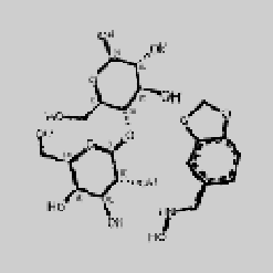 OC[C@H]1O[C@@H](O[C@H]2[C@H](O)[C@@H](O)[C@H](O)O[C@@H]2CO)[C@H](O)[C@@H](O)[C@H]1O.ONCc1ccc2c(c1)OCO2